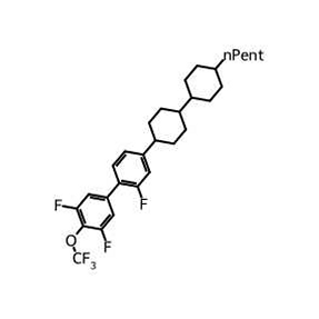 CCCCCC1CCC(C2CCC(c3ccc(-c4cc(F)c(OC(F)(F)F)c(F)c4)c(F)c3)CC2)CC1